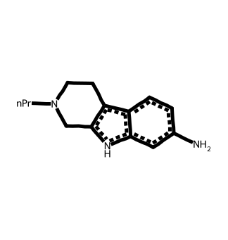 CCCN1CCc2c([nH]c3cc(N)ccc23)C1